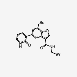 CC(C)CNC(=O)c1coc2c(C(C)(C)C)cc(-c3ccc[nH]c3=O)cc12